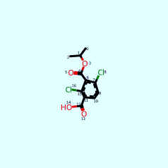 CC(C)OC(=O)c1c(Cl)ccc(C(=O)O)c1Cl